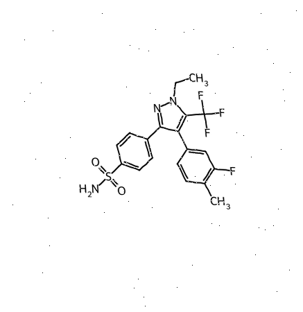 CCn1nc(-c2ccc(S(N)(=O)=O)cc2)c(-c2ccc(C)c(F)c2)c1C(F)(F)F